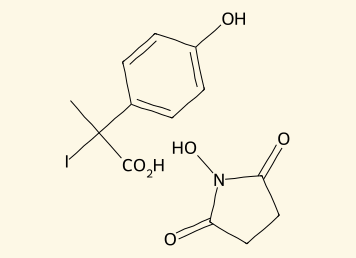 CC(I)(C(=O)O)c1ccc(O)cc1.O=C1CCC(=O)N1O